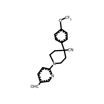 N#CC1(c2ccc(OC(F)(F)F)cc2)CCN(c2ccc(C=O)cn2)CC1